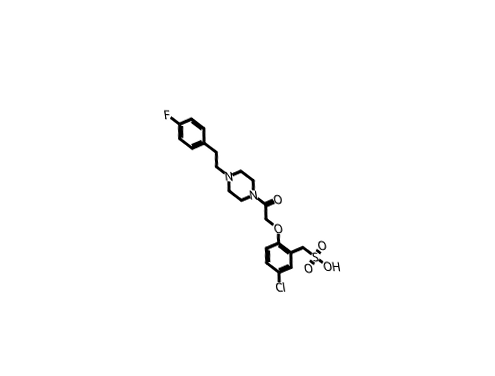 O=C(COc1ccc(Cl)cc1CS(=O)(=O)O)N1CCN(CCc2ccc(F)cc2)CC1